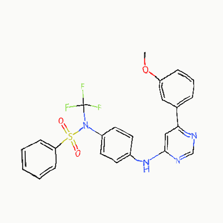 COc1cccc(-c2cc(Nc3ccc(N(C(F)(F)F)S(=O)(=O)c4ccccc4)cc3)ncn2)c1